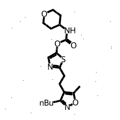 CCCCc1noc(C)c1CCc1ncc(OC(=O)NC2CCOCC2)s1